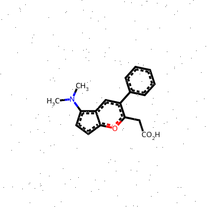 CN(C)c1ccc2oc(CC(=O)O)c(-c3ccccc3)cc1-2